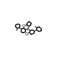 Cc1ccccc1-c1ccc2c(c1)B1c3ccccc3Oc3c(-c4ccccc4C)ccc(c31)O2